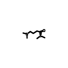 CN(C)CCCC(=O)[SH](C)C